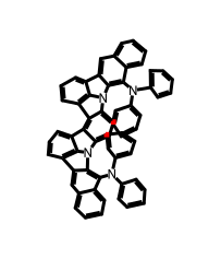 c1ccc(N(c2ccccc2)c2c3ccccc3cc3c4cccc5c6c7c8cccc9c%10cc%11ccccc%11c(N(c%11ccccc%11)c%11ccccc%11)c%10n(c7ccc6n(c23)c45)c98)cc1